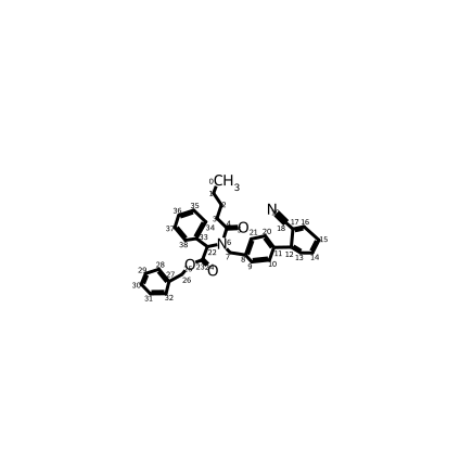 CCCCC(=O)N(Cc1ccc(-c2ccccc2C#N)cc1)C(C(=O)OCc1ccccc1)c1ccccc1